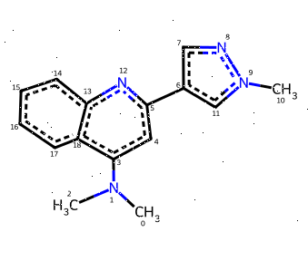 CN(C)c1cc(-c2cnn(C)c2)nc2ccccc12